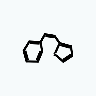 C(=C/c1cccs1)/c1ccccc1